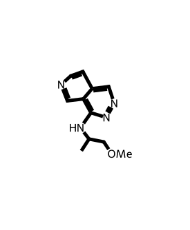 COCC(C)Nc1nncc2ccncc12